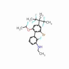 CCNc1cccc(-c2c(Br)cc(C(C)(C(C)(F)F)C(C)(F)F)cc2OC(C)F)c1F